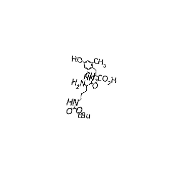 Cc1cc(O)cc(C)c1CC(NC(=O)C(N)CCCNC(=O)OC(C)(C)C)C(=O)O